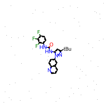 CC(C)(C)c1cc(NC(=O)Nc2ccc(F)c(F)c2F)n(-c2ccc3ncccc3c2)n1